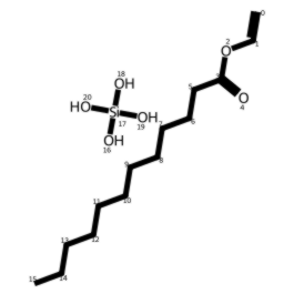 C=COC(=O)CCCCCCCCCCC.O[Si](O)(O)O